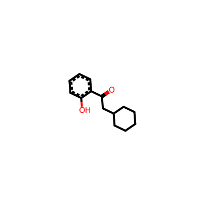 O=C(CC1CCCCC1)c1ccccc1O